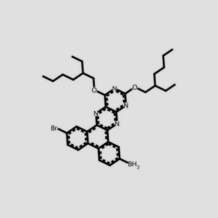 Bc1ccc2c3ccc(Br)cc3c3nc4c(OCC(CC)CCCC)nc(OCC(CC)CCCC)nc4nc3c2c1